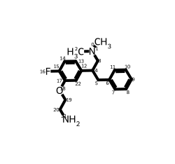 CN(C)CC(Cc1ccccc1)c1ccc(F)c(OCCN)c1